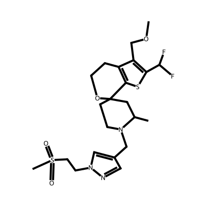 COCc1c(C(F)F)sc2c1CCOC21CCN(Cc2cnn(CCS(C)(=O)=O)c2)C(C)C1